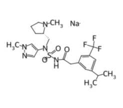 CC(C)c1cc(CC(=O)NS(=O)(=O)N(C[C@@H]2CCCN2C)c2cnn(C)c2)cc(C(F)(F)F)c1.[Na]